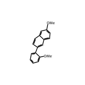 COc1ccc2[c]c(-c3ccccc3OC)ccc2c1